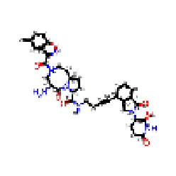 Cc1ccc2onc(C(=O)N3CC[C@H]4CC[C@@H](C(=O)N(C)CCC#Cc5cccc6c5CN(C5CCC(=O)NC5=O)C6=O)N4C(=O)[C@@H](N)C3)c2c1